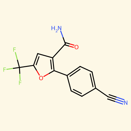 N#Cc1ccc(-c2oc(C(F)(F)F)cc2C(N)=O)cc1